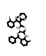 O=C(N[C@H]1N=C(c2ccccc2)c2cccc(F)c2NC1=O)c1c(-c2ccccc2F)nn2cccnc12